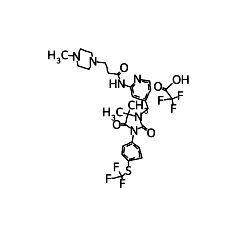 CN1CCN(CCC(=O)Nc2cc(CN3C(=O)N(c4ccc(SC(F)(F)F)cc4)C(=O)C3(C)C)ccn2)CC1.O=C(O)C(F)(F)F